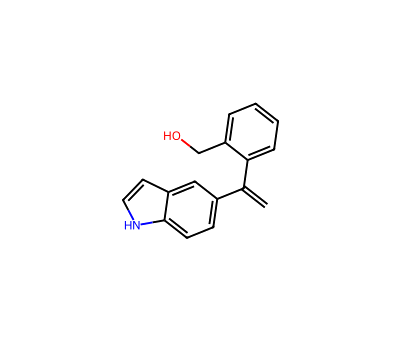 C=C(c1ccc2[nH]ccc2c1)c1ccccc1CO